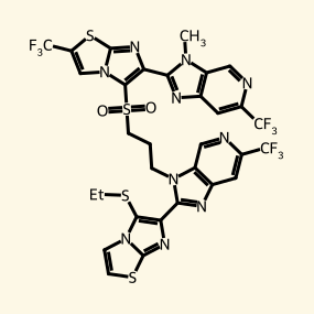 CCSc1c(-c2nc3cc(C(F)(F)F)ncc3n2CCCS(=O)(=O)c2c(-c3nc4cc(C(F)(F)F)ncc4n3C)nc3sc(C(F)(F)F)cn23)nc2sccn12